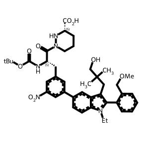 CCn1c(-c2ccccc2COC)c(CC(C)(C)CO)c2cc(-c3cc(C[C@H](NC(=O)OC(C)(C)C)C(=O)N4CCC[C@@H](C(=O)O)N4)cc([N+](=O)[O-])c3)ccc21